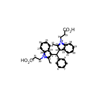 Cc1c(C(c2ccccc2)c2c(C)n(CCC(=O)O)c3ccccc23)c2ccccc2n1CCC(=O)O